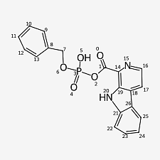 O=C(OP(=O)(O)OCc1ccccc1)c1nccc2c1[nH]c1ccccc12